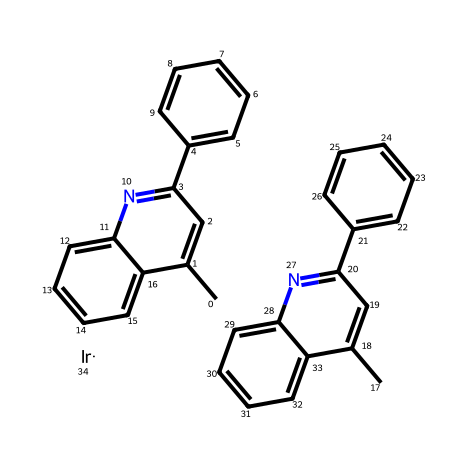 Cc1cc(-c2ccccc2)nc2ccccc12.Cc1cc(-c2ccccc2)nc2ccccc12.[Ir]